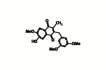 COc1cc(CC2=C(C)C(=O)c3cc(OC)c(O)cc3C2=O)cc(OC)c1